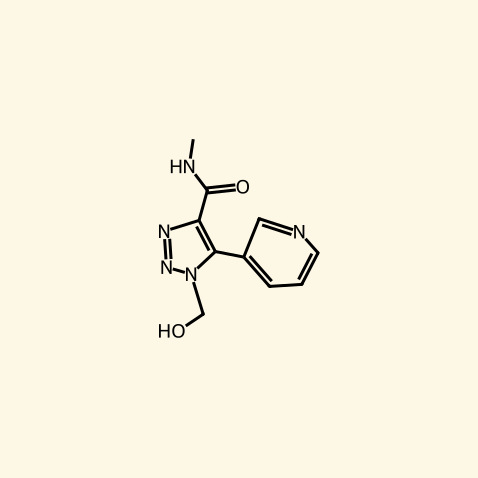 CNC(=O)c1nnn(CO)c1-c1cccnc1